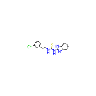 S=C(NCCc1cccc(Cl)c1)Nc1nc2ccccc2[nH]1